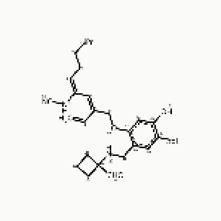 C=C/C(=C\C(=C/CCC(C)C)NC#N)COc1cc(O)c(CC)cc1CNC1(C=O)CCC1